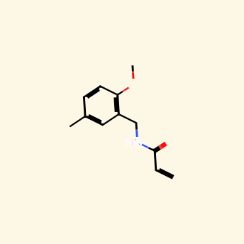 C=CC(=O)NCc1cc(C)ccc1OC